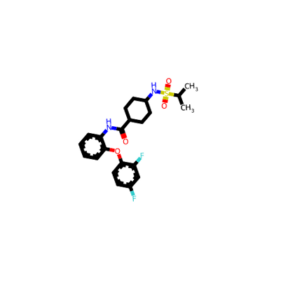 CC(C)S(=O)(=O)NC1CCC(C(=O)Nc2ccccc2Oc2ccc(F)cc2F)CC1